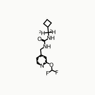 [2H]C([2H])(NC(=O)NCc1ccnc(OC(F)F)c1)C1CCC1